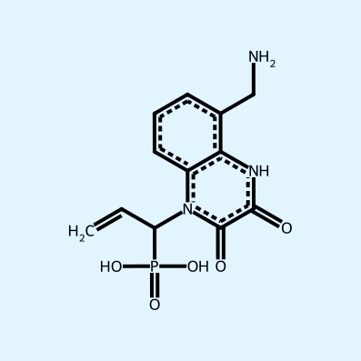 C=CC(n1c(=O)c(=O)[nH]c2c(CN)cccc21)P(=O)(O)O